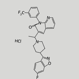 CC(c1cc2cccnc2n(-c2cccc(C(F)(F)F)c2)c1=O)N1CCC(c2noc3cc(F)ccc23)CC1.Cl